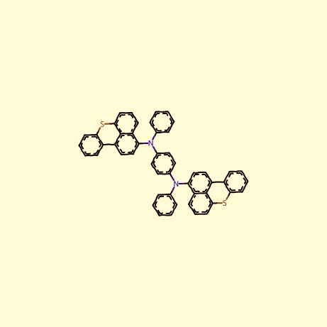 c1ccc(N(c2ccc(N(c3ccccc3)c3ccc4c5c(cccc35)Sc3ccccc3-4)cc2)c2ccc3c4c(cccc24)Sc2ccccc2-3)cc1